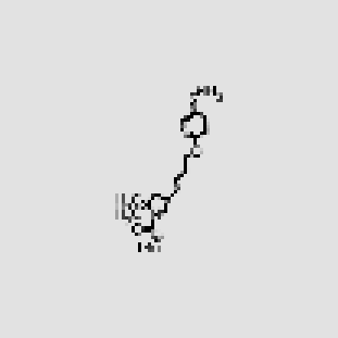 CC(C)(C)OC(=O)N1CC(CCCCOc2ccc(SN)cn2)CC1(C)C